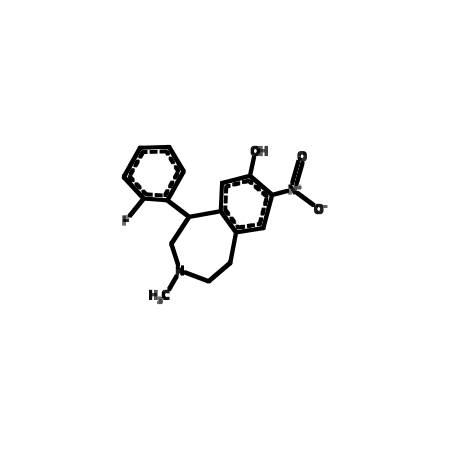 CN1CCc2cc([N+](=O)[O-])c(O)cc2C(c2ccccc2F)C1